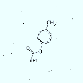 [CH2]c1ccc(OC(=O)CCC)cc1